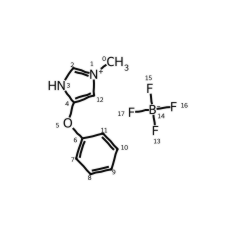 C[n+]1c[nH]c(Oc2ccccc2)c1.F[B-](F)(F)F